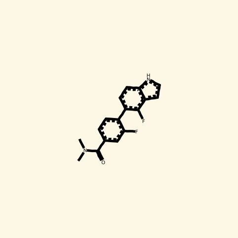 CN(C)C(=O)c1ccc(-c2ccc3[nH]ccc3c2F)c(F)c1